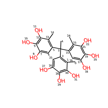 Cc1c(C(C)(c2cc(O)c(O)c(O)c2C)c2cc(O)c(O)c(O)c2C)cc(O)c(O)c1O